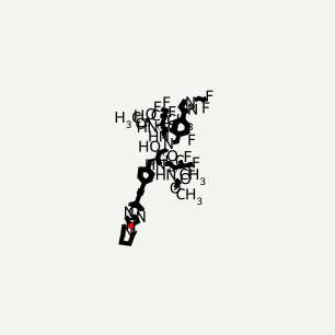 COC(=O)N[C@H](C(=O)N[C@@H](Cc1ccc(C#Cc2cnc(N3CC4CCC(C3)N4C3COC3)nc2)cc1)[C@@H](O)CN(Cc1c(F)cc(-c2ccn(CC(F)F)n2)cc1F)NC(=O)[C@@H](NC(=O)OC)C(C)(C)C(F)(F)F)C(C)(C)C(F)(F)F